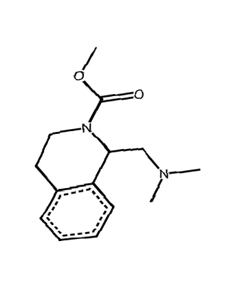 COC(=O)N1CCc2ccccc2C1CN(C)C